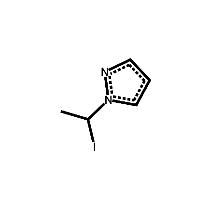 CC(I)n1cccn1